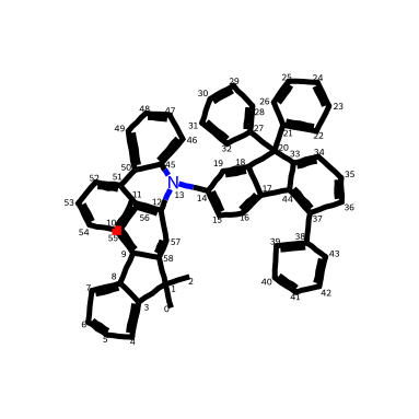 CC1(C)c2ccccc2-c2ccc(N(c3ccc4c(c3)C(c3ccccc3)(c3ccccc3)c3cccc(-c5ccccc5)c3-4)c3ccccc3-c3ccccc3)cc21